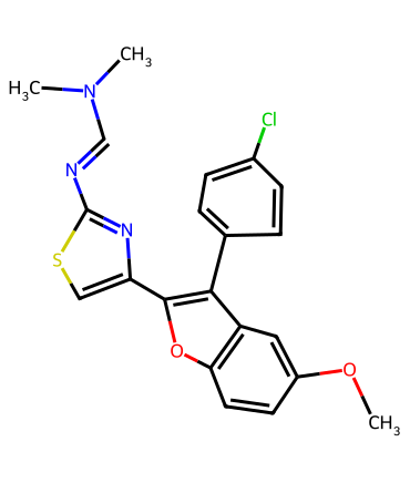 COc1ccc2oc(-c3csc(N=CN(C)C)n3)c(-c3ccc(Cl)cc3)c2c1